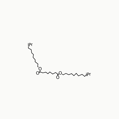 CC(C)CCCCCCCCCOC(=O)CCCCCCC(=O)OCCCCCCCCCC(C)C